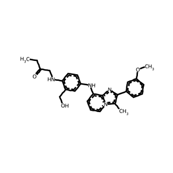 CCC(=O)CNc1ccc(Nc2cccn3c(C)c(-c4cccc(OC)c4)nc23)cc1CO